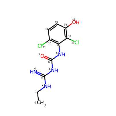 CCNC(=N)NC(=O)Nc1c(Cl)ccc(O)c1Cl